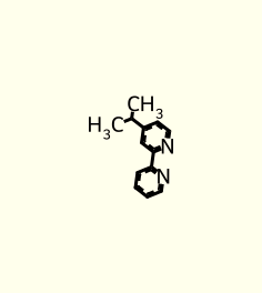 CC(C)c1ccnc(-c2ccccn2)c1